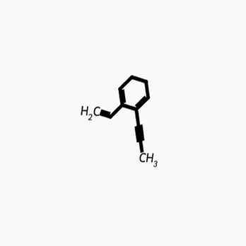 C=CC1=CCCC=C1C#CC